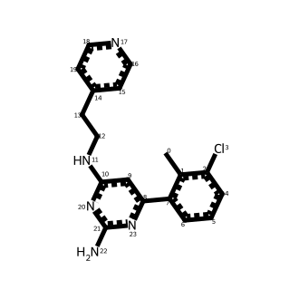 Cc1c(Cl)cccc1-c1cc(NCCc2ccncc2)nc(N)n1